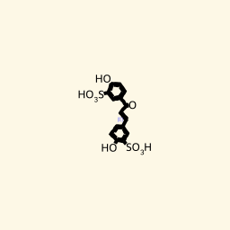 O=C(/C=C/c1ccc(O)c(S(=O)(=O)O)c1)c1ccc(O)c(S(=O)(=O)O)c1